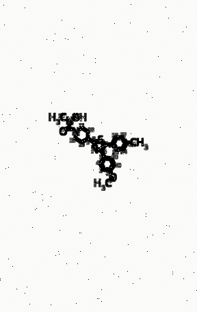 COc1ccc(-c2nc(C3CCN(C(=O)N(C)O)CC3)sc2-c2ccc(C)cc2)cc1